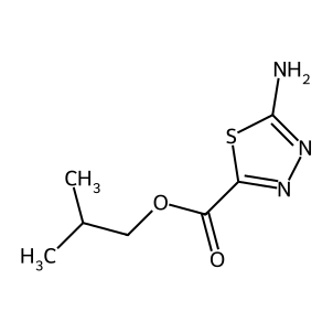 CC(C)COC(=O)c1nnc(N)s1